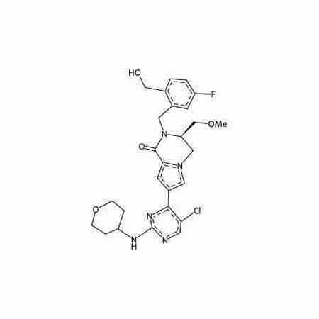 COC[C@H]1Cn2cc(-c3nc(NC4CCOCC4)ncc3Cl)cc2C(=O)N1Cc1cc(F)ccc1CO